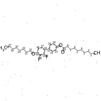 CCCCCCCCCC(=O)Oc1ccc(-c2ccc(OCCCCCCCC)c(F)c2F)cc1